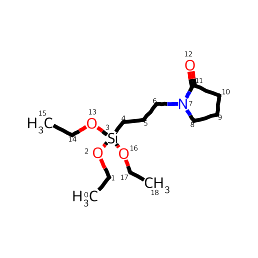 CCO[Si](CCCN1CCCC1=O)(OCC)OCC